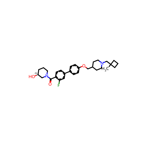 CC1(CN2CCC(COc3ccc(-c4ccc(C(=O)N5CCC[C@H](O)C5)c(F)c4)cc3)CC2)CCC1